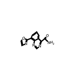 NC(=O)c1ncnc2c(-c3ncco3)cccc12